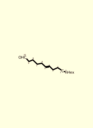 CCCCCCCCCC=CCCCCC=O